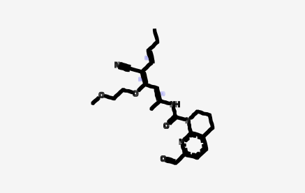 CC/C=C/C(C#N)=C(\C=C(/C)NC(=O)N1CCCc2ccc(C=O)nc21)OCCOC